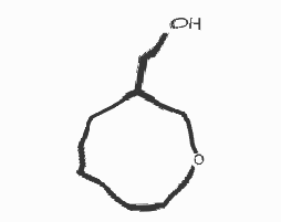 OCC1CCCCOC1